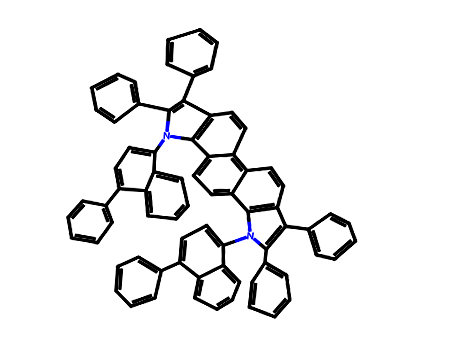 c1ccc(-c2ccc(-n3c(-c4ccccc4)c(-c4ccccc4)c4ccc5c6ccc7c(-c8ccccc8)c(-c8ccccc8)n(-c8ccc(-c9ccccc9)c9ccccc89)c7c6ccc5c43)c3ccccc23)cc1